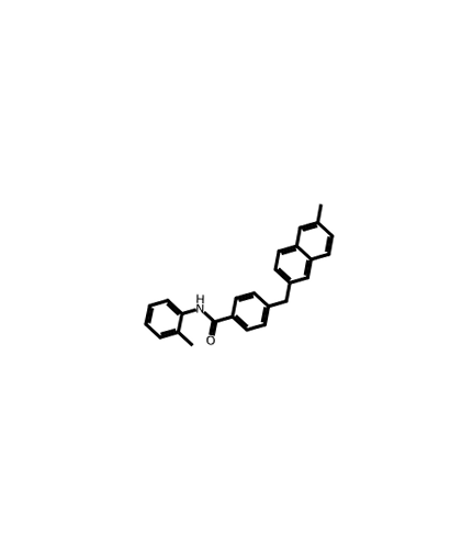 Cc1ccc2cc(Cc3ccc(C(=O)Nc4ccccc4C)cc3)ccc2c1